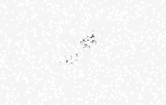 C=CC(=O)Oc1ccc(CCc2ccc3c(c2)C(C)(C)c2cc(C)ccc2-3)cc1